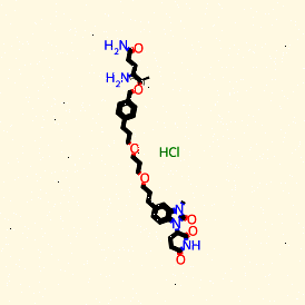 C[C@@H](OCc1ccc(CCCOCCCOCCCc2ccc3c(c2)n(C)c(=O)n3C2CCC(=O)NC2=O)cc1)[C@@H](N)CCC(N)=O.Cl